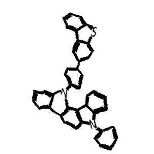 c1ccc(-n2c3ccccc3c3c2ccc2c4ccccc4n(-c4ccc(-c5ccc6sc7ccccc7c6c5)cc4)c23)cc1